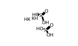 O=[Si](O)O.O=[Si](O)O.[KH].[KH]